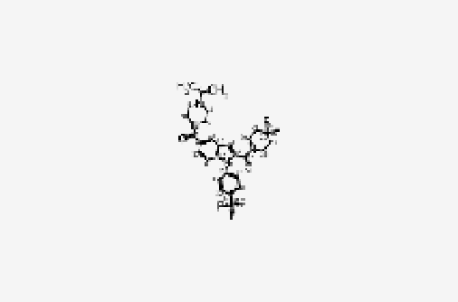 CC(C)N1CCN(C(=O)c2ccc3c(c2)cc(C(=O)N2CCC(F)(F)CC2)n3-c2ccc(C(F)(F)F)cc2)CC1